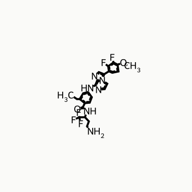 CCc1cc(Nc2nccn3c(-c4ccc(OC)c(F)c4F)cnc23)ccc1C(=O)NC(CCN)C(F)(F)F